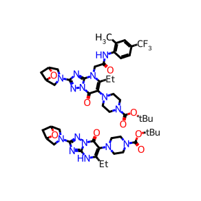 CCc1[nH]c2nc(N3CC4CC(C3)O4)nn2c(=O)c1N1CCN(C(=O)OC(C)(C)C)CC1.CCc1c(N2CCN(C(=O)OC(C)(C)C)CC2)c(=O)n2nc(N3CC4CC(C3)O4)nc2n1CC(=O)Nc1ccc(C(F)(F)F)cc1C